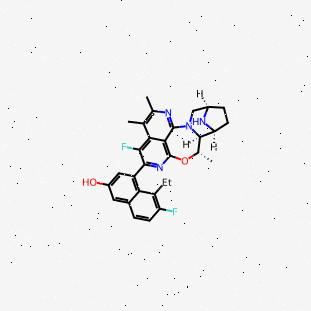 CCc1c(F)ccc2cc(O)cc(-c3nc4c5c(nc(C)c(C)c5c3F)N3C[C@H]5CC[C@H](N5)[C@H]3[C@H](C)O4)c12